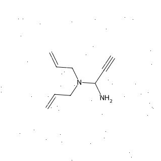 C#CC(N)N(CC=C)CC=C